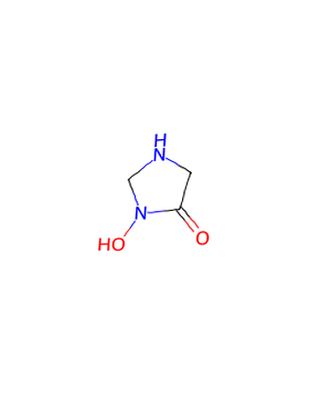 O=C1CNCN1O